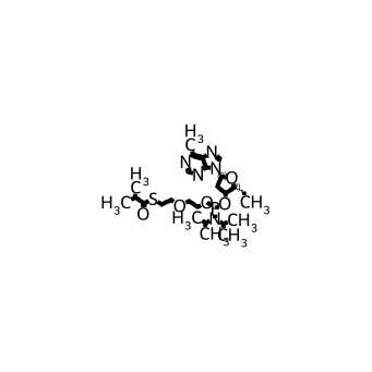 CC[C@H]1O[C@@H](n2cnc3c(C)ncnc32)CC1OP(OCCOCCSC(=O)C(C)C)N(C(C)C)C(C)C